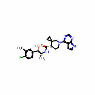 Cc1cc([C@H](O)[C@H](C)NC(=O)[C@H]2CCN(c3ncnc4[nH]ccc34)CC23CC3)ccc1F